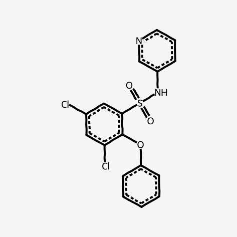 O=S(=O)(Nc1cccnc1)c1cc(Cl)cc(Cl)c1Oc1ccccc1